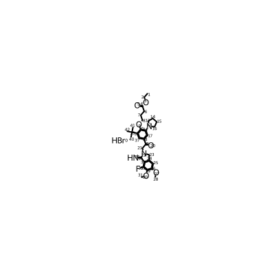 Br.CCOC(=O)CCCOc1c(N2CCCC2)cc(C(=O)CN2Cc3cc(OC)c(OC)c(F)c3C2=N)cc1C(C)(C)C